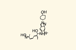 CC(/C=C\C=C(/I)C(O)Nc1cc2cn([C@H]3CC[C@H](O)CC3)nc2cc1N(C)C)=N\O